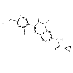 Cc1cc([C@@H](C)O)ncc1C1=Cc2cnc(NC(=O)[C@@H]3C[C@@H]3F)cc2N(C)C1O